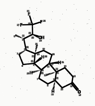 C[C@@H]([C@H]1CC[C@H]2[C@@H]3CC[C@@H]4CC(=O)CC[C@]4(C)[C@H]3CC[C@]12C)[C@H](O)C(F)(F)F